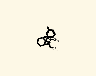 CN1CC2CCCC(C1)C2(OCC(F)(F)F)c1cccc(I)c1